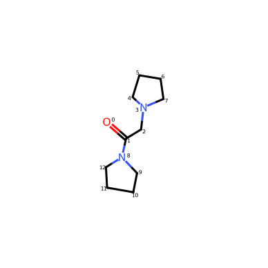 O=C(CN1CCCC1)N1CCCC1